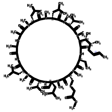 C/C=C/C[C@@H](C)[C@@H](O)[C@H]1C(=O)N[C@@H](CC)C(=O)N(C)[C@H](CSCC(=O)OC)C(=O)N(C)[C@@](C=O)(CC(C)C)N[C@H](C(C)C)C(=O)N(C)[C@H](CC(C)C)C(=O)NC(=O)C(C)NC(C)C(=O)N(C)[C@H](CC(C)C)C(=O)N(C)[C@H](CC(C)C)C(=O)N(C)[C@H](C(C)C)C(=O)N1C